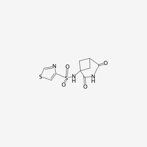 O=C1NC(=O)C2(NS(=O)(=O)c3cscn3)CC1C2